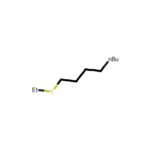 CCCCCCCCSCC